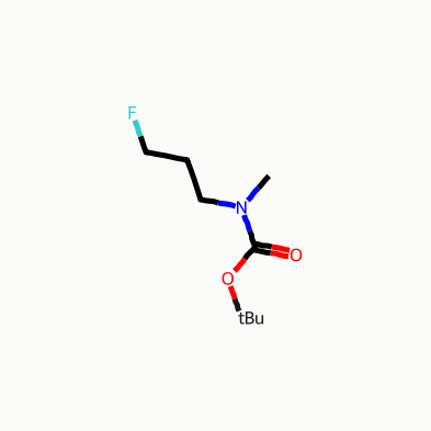 CN(CCCF)C(=O)OC(C)(C)C